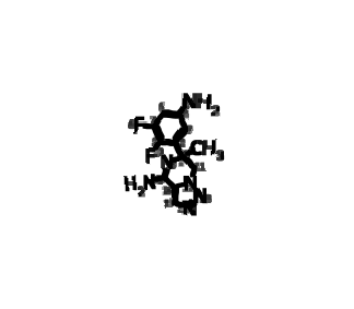 C[C@@]1(c2cc(N)cc(F)c2F)Cn2nncc2C(N)=N1